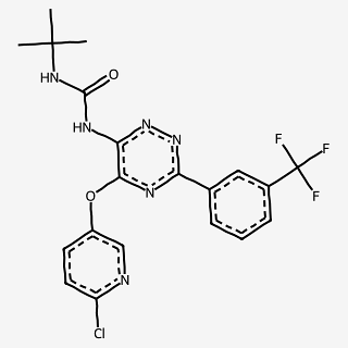 CC(C)(C)NC(=O)Nc1nnc(-c2cccc(C(F)(F)F)c2)nc1Oc1ccc(Cl)nc1